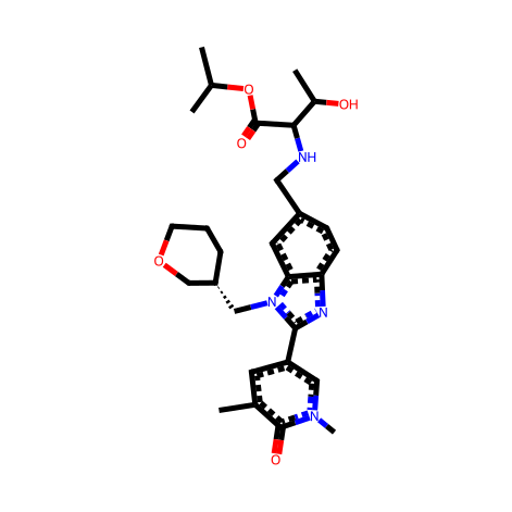 Cc1cc(-c2nc3ccc(CNC(C(=O)OC(C)C)C(C)O)cc3n2C[C@H]2CCCOC2)cn(C)c1=O